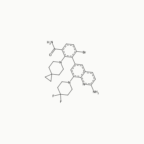 NC(=O)c1ccc(Br)c(-c2cc(N3CCC(F)(F)CC3)c3nc(N)ccc3c2)c1N1CCC2(CC1)CC2